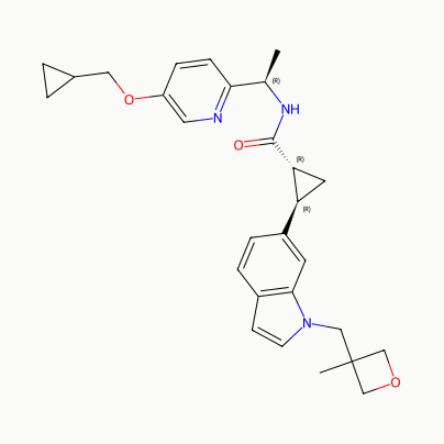 C[C@@H](NC(=O)[C@@H]1C[C@H]1c1ccc2ccn(CC3(C)COC3)c2c1)c1ccc(OCC2CC2)cn1